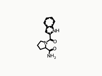 NC(=O)C1CCCN1C(=O)c1cc2ccccc2[nH]1